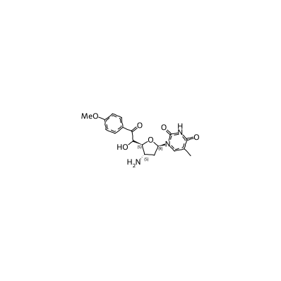 COc1ccc(C(=O)C(O)[C@H]2O[C@@H](n3cc(C)c(=O)[nH]c3=O)C[C@@H]2N)cc1